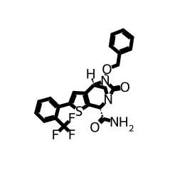 NC(=O)[C@@H]1c2sc(-c3ccccc3C(F)(F)F)cc2[C@@H]2CN1C(=O)N2OCc1ccccc1